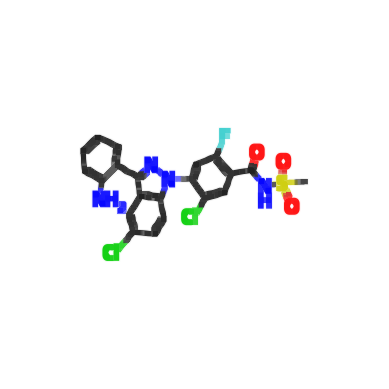 CS(=O)(=O)NC(=O)c1cc(Cl)c(-n2nc(-c3ccccc3N)c3cc(Cl)ccc32)cc1F